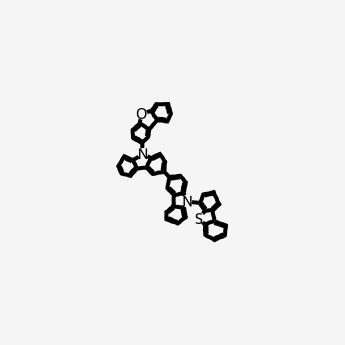 c1ccc2c(c1)oc1ccc(-n3c4ccccc4c4cc(-c5ccc6c(c5)c5ccccc5n6-c5cccc6c5sc5ccccc56)ccc43)cc12